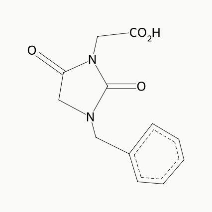 O=C(O)CN1C(=O)CN(Cc2ccccc2)C1=O